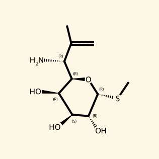 C=C(C)[C@@H](N)[C@H]1O[C@H](SC)[C@H](O)[C@@H](O)[C@H]1O